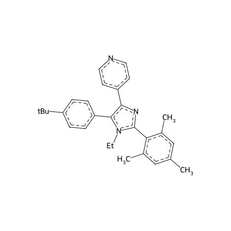 CCn1c(-c2c(C)cc(C)cc2C)nc(-c2ccncc2)c1-c1ccc(C(C)(C)C)cc1